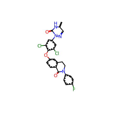 C=C1C=NN(c2cc(Cl)c(Oc3ccc4c(c3)CCN(c3ccc(F)cc3)C4=O)c(Cl)c2)C(=O)N1